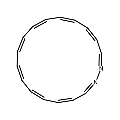 c1ccccccccnnccccccc1